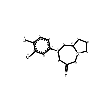 O=C1C[C@@H](c2ccc(Cl)c(Cl)c2)CC2CCC[N+]2C1